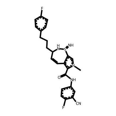 Cn1cc2c(c1C(=O)Nc1ccc(F)c(C#N)c1)C=CC(CCCc1ccc(F)cc1)NS2=N